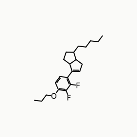 CCCCCC1CCC2C(c3ccc(OCCC)c(F)c3F)=CCC12